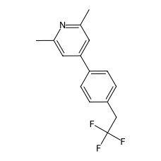 Cc1cc(-c2ccc(CC(F)(F)F)cc2)cc(C)n1